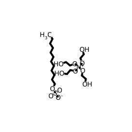 CCCCCCCCCCCCOS(=O)(=O)[O-].OCCO[N+](OCCO)(OCCO)OCCO